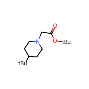 CC(C)(C)OC(=O)CN1CCC(C(C)(C)C)CC1